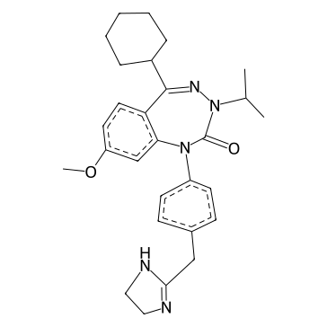 COc1ccc2c(c1)N(c1ccc(CC3=NCCN3)cc1)C(=O)N(C(C)C)N=C2C1CCCCC1